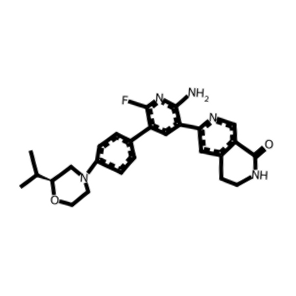 CC(C)[C@H]1CN(c2ccc(-c3cc(-c4cc5c(cn4)C(=O)NCC5)c(N)nc3F)cc2)CCO1